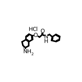 Cl.N[C@H]1CCc2ccc(OCC(=O)NCc3ccccc3)cc2C1